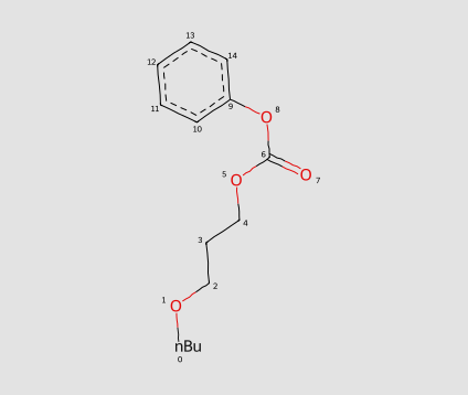 CCCCOCCCOC(=O)Oc1ccccc1